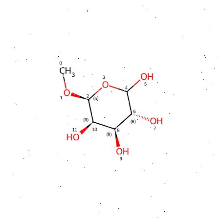 CO[C@H]1OC(O)[C@H](O)[C@@H](O)[C@H]1O